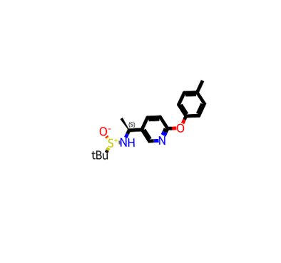 Cc1ccc(Oc2ccc([C@H](C)N[S+]([O-])C(C)(C)C)cn2)cc1